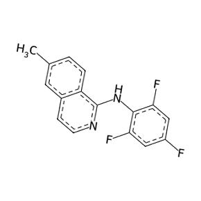 Cc1ccc2c(Nc3c(F)cc(F)cc3F)nccc2c1